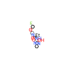 CC[C@H](NC(=O)c1nc2ccccc2nc1O)C(=O)N1CCC(Oc2cccc(F)c2)CC1